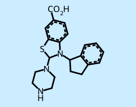 O=C(O)c1ccc2c(c1)SC(N1CCNCC1)N2C1CCc2ccccc21